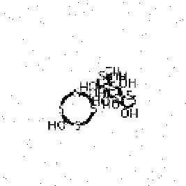 CC1(O)CSC(C)(O)CS1.OC1CSC(O)CS1.OC1CSCCCSCC(O)CSCCCSC1.OC1CSSCC1O